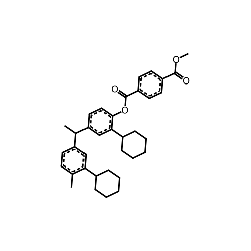 COC(=O)c1ccc(C(=O)Oc2ccc(C(C)c3ccc(C)c(C4CCCCC4)c3)cc2C2CCCCC2)cc1